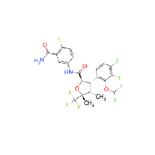 C[C@H]1[C@@H](c2ccc(F)c(F)c2OC(F)F)[C@H](C(=O)Nc2ccc(F)c(C(N)=O)c2)O[C@@]1(C)C(F)(F)F